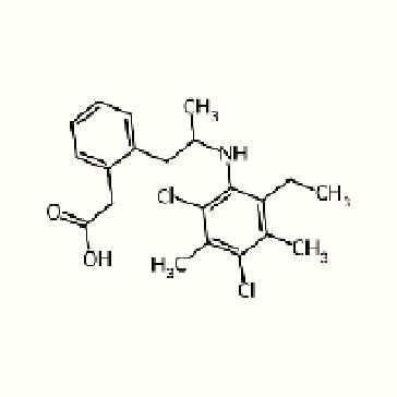 CCc1c(C)c(Cl)c(C)c(Cl)c1NC(C)Cc1ccccc1CC(=O)O